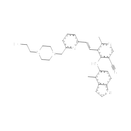 Cc1ncc(C#N)c(Nc2ccc3[nH]ccc3c2C)c1C=Cc1cccc(CN2CCN(CCO)CC2)n1